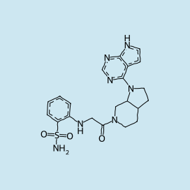 NS(=O)(=O)c1ccccc1NCC(=O)N1CCC2CCN(c3ncnc4[nH]ccc34)C2C1